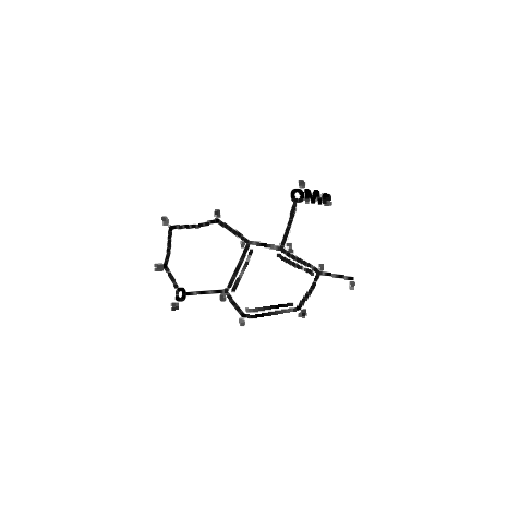 COc1c(C)ccc2c1CCCO2